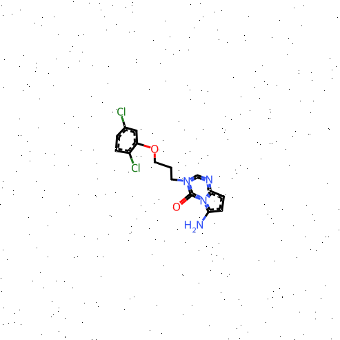 Nc1ccc2ncn(CCCOc3cc(Cl)ccc3Cl)c(=O)n12